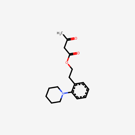 CC(=O)CC(=O)OCCc1ccccc1N1CCCCC1